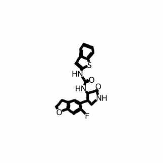 O=C(Nc1cc2ccccc2s1)NC1C(=O)NCC1c1cc2c(cc1F)OCC2